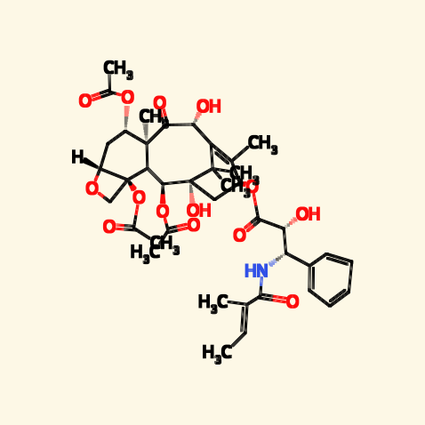 C/C=C(\C)C(=O)N[C@@H](c1ccccc1)[C@@H](O)C(=O)O[C@H]1C[C@@]2(O)[C@@H](OC(C)=O)C3[C@](C)(C(=O)[C@H](O)C(=C1C)C2(C)C)[C@@H](OC(C)=O)C[C@H]1OC[C@@]31OC(C)=O